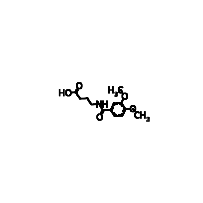 COc1ccc(C(=O)NCCCC(=O)O)cc1OC